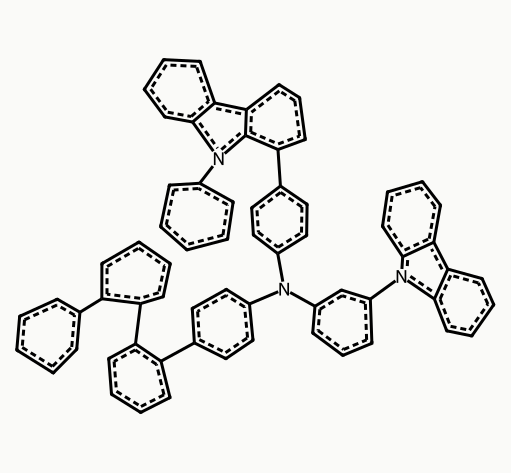 c1ccc(-c2ccccc2-c2ccccc2-c2ccc(N(c3ccc(-c4cccc5c6ccccc6n(-c6ccccc6)c45)cc3)c3cccc(-n4c5ccccc5c5ccccc54)c3)cc2)cc1